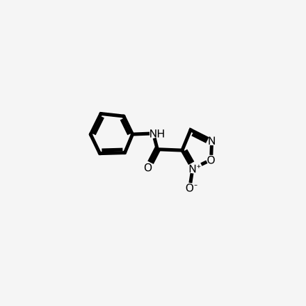 O=C(Nc1ccccc1)c1cno[n+]1[O-]